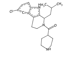 CC(C)CC1c2[nH]c3ccc(Cl)cc3c2CCN1C(=O)C1CCNCC1